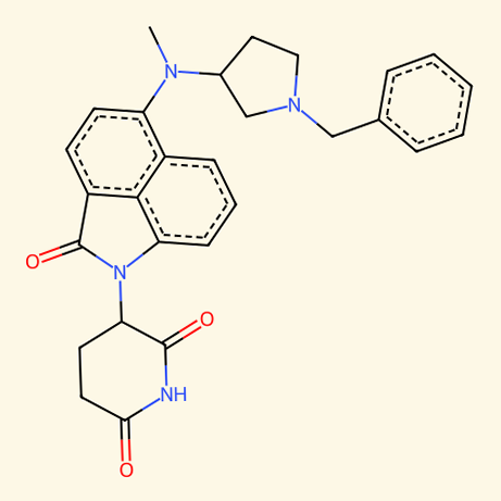 CN(c1ccc2c3c(cccc13)N(C1CCC(=O)NC1=O)C2=O)C1CCN(Cc2ccccc2)C1